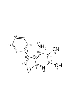 N#Cc1c(O)nc2onc(-c3ccccc3)c2c1N